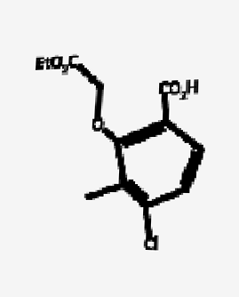 CCOC(=O)COc1c(C(=O)O)ccc(Cl)c1C